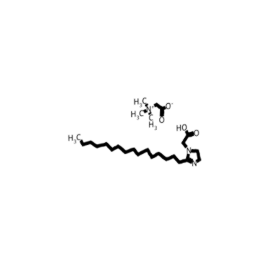 CCCCCCCCCCCCCCCCC1=NCCN1CC(=O)O.C[N+](C)(C)CC(=O)[O-]